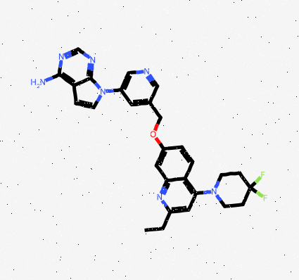 CCc1cc(N2CCC(F)(F)CC2)c2ccc(OCc3cncc(-n4ccc5c(N)ncnc54)c3)cc2n1